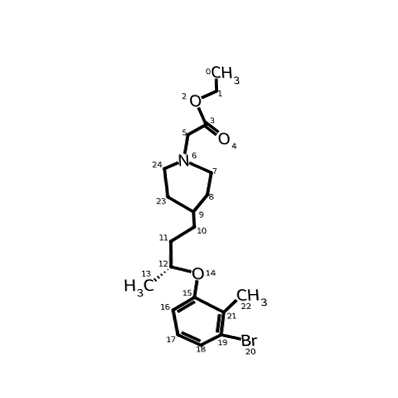 CCOC(=O)CN1CCC(CC[C@@H](C)Oc2cccc(Br)c2C)CC1